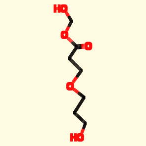 O=C(CCOCCCO)OCO